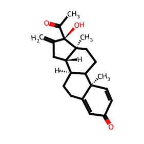 C=C1C[C@H]2[C@@H]3CCC4=CC(=O)C=C[C@]4(C)C3CC[C@]2(C)[C@@]1(O)C(C)=O